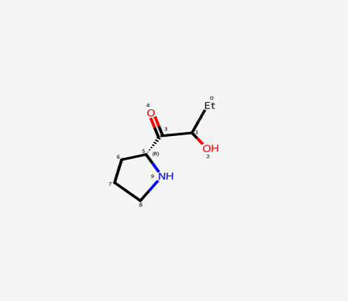 [CH2]CC(O)C(=O)[C@H]1CCCN1